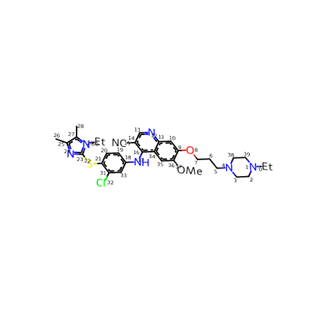 CCN1CCN(CCCOc2cc3ncc(C#N)c(Nc4ccc(Sc5nc(C)c(C)n5CC)c(Cl)c4)c3cc2OC)CC1